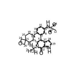 [2H]C([2H])([2H])n1cc(-c2cc(NS(C)(=O)=O)ccc2N2CCC3(CC2)COC3)c2cc[nH]c2c1=O